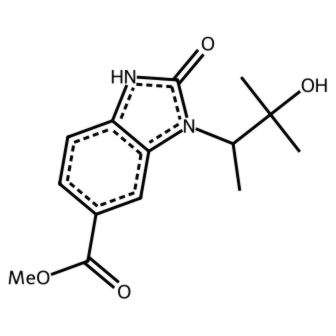 COC(=O)c1ccc2[nH]c(=O)n(C(C)C(C)(C)O)c2c1